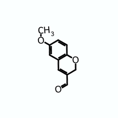 COc1ccc2c(c1)C=C(C=O)CO2